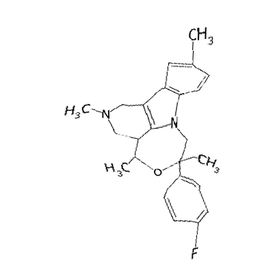 Cc1ccc2c(c1)c1c3n2CC(C)(c2ccc(F)cc2)OC(C)C3CN(C)C1